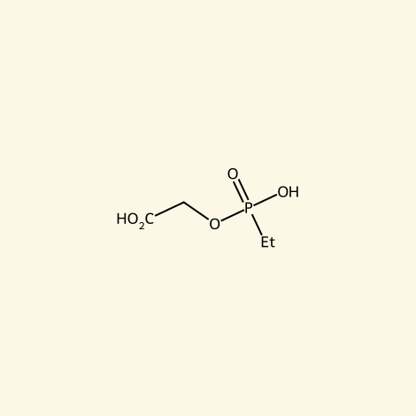 CCP(=O)(O)OCC(=O)O